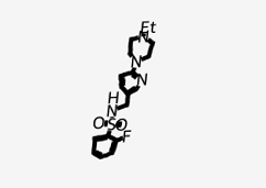 CCN1CCN(c2ccc(CNS(=O)(=O)c3ccccc3F)cn2)CC1